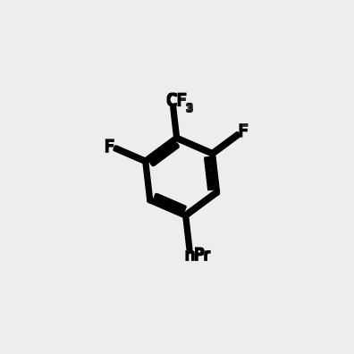 CCCc1cc(F)c(C(F)(F)F)c(F)c1